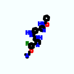 CN(C)CCOc1cc(F)cc(-c2nccc3[nH]c(-c4n[nH]c5ccc(-c6cncc(NC(=O)C7CCCCC7)c6)cc45)cc23)c1